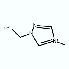 CCCCn1c[n+](C)cn1